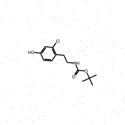 CC(C)(C)OC(=O)NCCc1ccc(O)cc1Cl